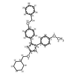 COc1ccc(-n2nc(OCC3CCCCC3)nc2-c2ccc(OCc3ccccc3)cc2)cc1